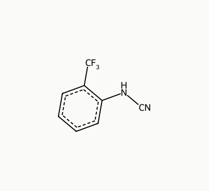 N#CNc1ccccc1C(F)(F)F